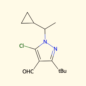 CC(C1CC1)n1nc(C(C)(C)C)c(C=O)c1Cl